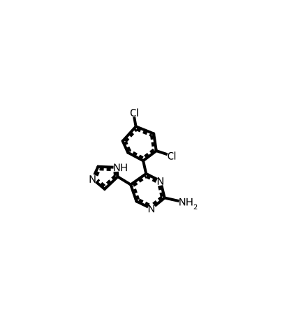 Nc1ncc(-c2cnc[nH]2)c(-c2ccc(Cl)cc2Cl)n1